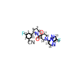 N#Cc1cc(F)cc(C2CCC3OC4(CCN(c5ccnc6c(F)cnn56)CC4)C(=O)N32)c1